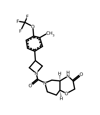 Cc1cc(C2CN(C(=O)N3CC[C@@H]4OCC(=O)N[C@@H]4C3)C2)ccc1OC(F)(F)F